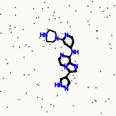 c1cc(Nc2nccn3c(-c4cn[nH]c4)cnc23)cc(N2CCNCC2)n1